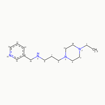 CCN1CCN(CCCNCc2cc[c]nc2)CC1